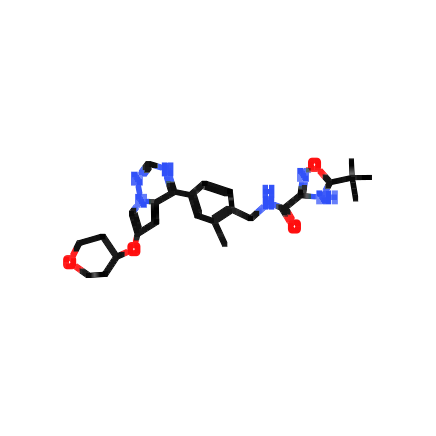 Cc1cc(-c2ncnn3cc(OC4CCOCC4)cc23)ccc1CNC(=O)C1=NOC(C(C)(C)C)N1